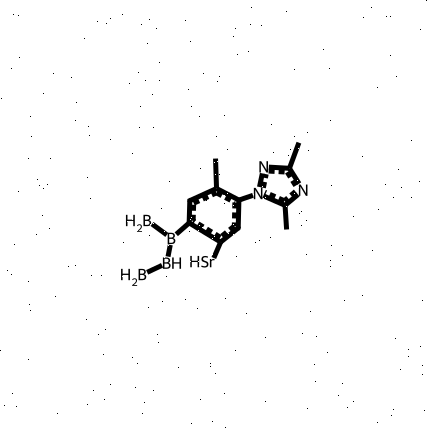 BBB(B)c1cc(C)c(-n2nc(C)nc2C)c[c]1[SrH]